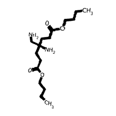 CCCCOC(=O)CCC(N)(CN)CCC(=O)OCCCC